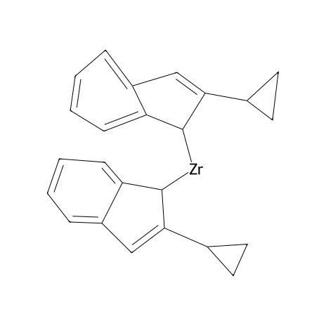 C1=C(C2CC2)[CH]([Zr][CH]2C(C3CC3)=Cc3ccccc32)c2ccccc21